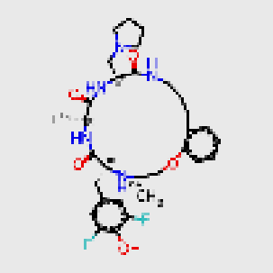 CC(C)[C@H]1NC(=O)[C@@H](Cc2cc(F)c(O)c(F)c2)N[C@@H](C)COc2ccccc2CCCNC(=O)[C@H](CN2CCCC2)NC1=O